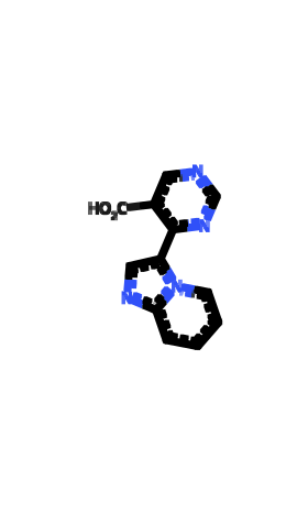 O=C(O)c1cncnc1-c1cnc2ccccn12